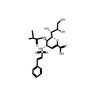 CC(C)C(=O)N[C@H]1[C@H]([C@H](O)[C@H](O)CO)OC(C(=O)O)=C[C@@H]1NS(=O)(=O)/C=C/c1ccccc1